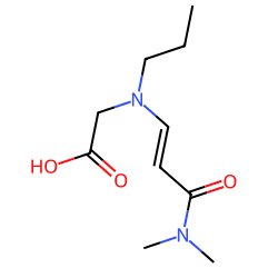 CCCN(C=CC(=O)N(C)C)CC(=O)O